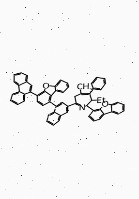 CCC1C(c2ccccc2)=C(C)CC(c2cc(-c3ccc(-c4cc5ccccc5c5ccccc45)c4oc5ccccc5c34)c3ccccc3c2)=NC1c1cccc2c1oc1ccccc12